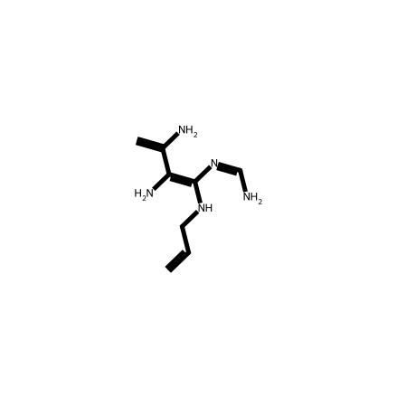 C=CCNC(/N=C\N)=C(\N)C(=C)N